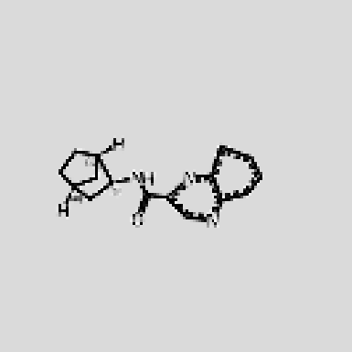 O=C(N[C@H]1C[C@@H]2CC[C@H]1C2)c1cnc2ccccc2n1